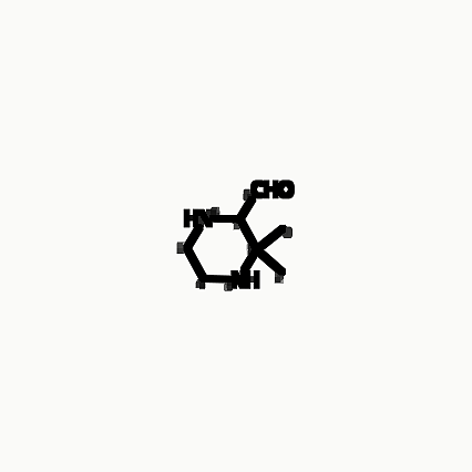 CC1(C)NCCNC1C=O